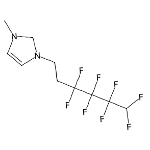 CN1C=CN(CCC(F)(F)C(F)(F)C(F)(F)C(F)F)C1